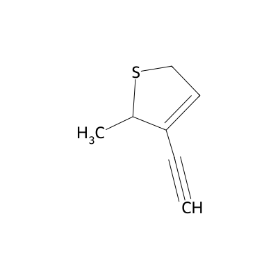 C#CC1=CCSC1C